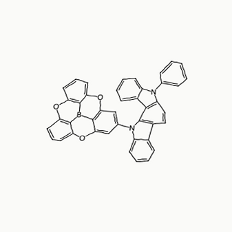 c1ccc(-n2c3ccccc3c3c2ccc2c4ccccc4n(-c4cc5c6c(c4)Oc4cccc7c4B6c4c(cccc4O5)O7)c23)cc1